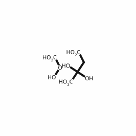 O=C(O)CC(O)(O)C(=O)O.O=C(O)OO